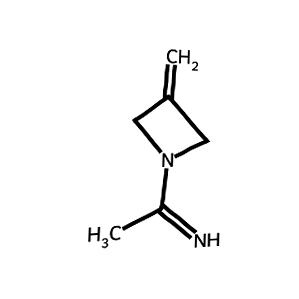 C=C1CN(C(C)=N)C1